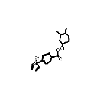 C=C[Si](C=C)(CC)c1ccc(C(=O)OO[C]2CCC(C)C(C)C2)cc1